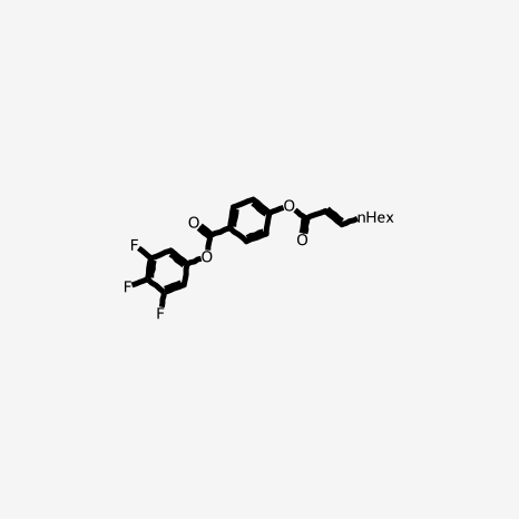 CCCCCCC=CC(=O)Oc1ccc(C(=O)Oc2cc(F)c(F)c(F)c2)cc1